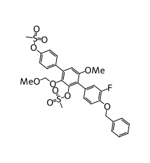 COCOc1c(-c2ccc(OS(C)(=O)=O)cc2)cc(OC)c(-c2ccc(OCc3ccccc3)c(F)c2)c1OS(C)(=O)=O